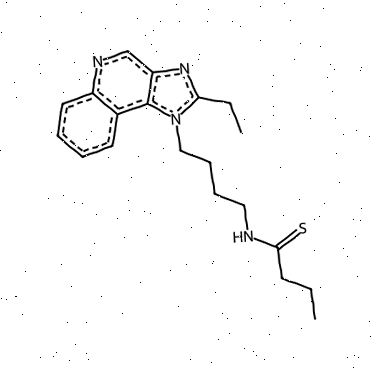 CCCC(=S)NCCCCn1c(CC)nc2cnc3ccccc3c21